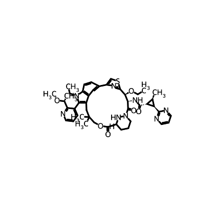 CCO[C@@H]1c2nc(cs2)-c2ccc3c(c2)c(c(-c2cccnc2[C@H](C)OC)n3CC)CC(C)(C)COC(=O)[C@@H]2CCCN(N2)C(=O)[C@H]1NC(=O)[C@@H]1[C@@H](C)[C@H]1c1ncccn1